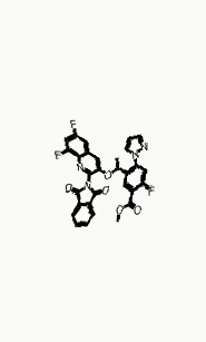 COC(=O)c1cc(C(C)Oc2cc3cc(F)cc(F)c3nc2N2C(=O)c3ccccc3C2=O)c(-n2cccn2)cc1F